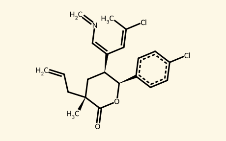 C=CC[C@]1(C)C[C@@H](C(=C/N=C)/C=C(\C)Cl)[C@@H](c2ccc(Cl)cc2)OC1=O